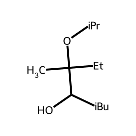 CCC(C)C(O)C(C)(CC)OC(C)C